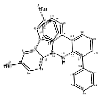 CC(C)(C)c1ccc2c(c1)c1cc(C(C)(C)C)ccc1n2Nc1c(-c2ccccc2)cccc1-c1ccccc1